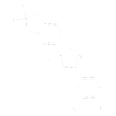 N#Cc1cc(C2=NCC(c3cc(Cl)c4c(c3)OC(F)(F)O4)(C(F)(F)F)C2)ccc1F